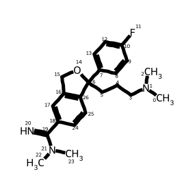 CN(C)CCCC1(c2ccc(F)cc2)OCc2cc(C(=N)N(C)C)ccc21